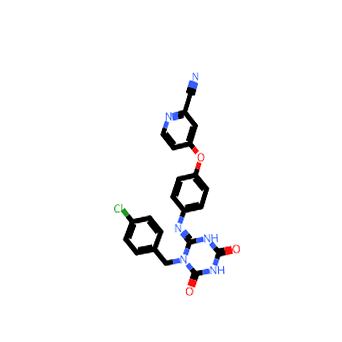 N#Cc1cc(Oc2ccc(/N=c3\[nH]c(=O)[nH]c(=O)n3Cc3ccc(Cl)cc3)cc2)ccn1